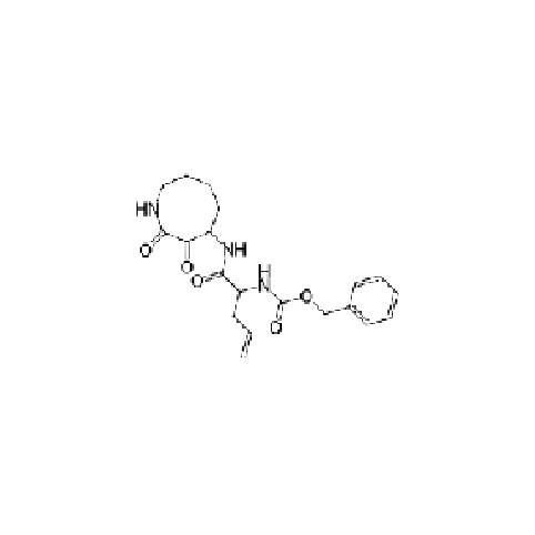 C=CCC(NC(=O)OCc1ccccc1)C(=O)NC1CCCCNC(=O)C1=O